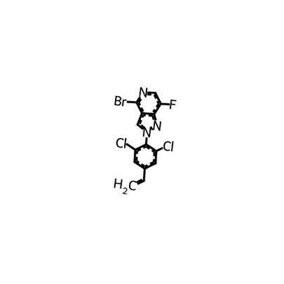 C=Cc1cc(Cl)c(-n2cc3c(Br)ncc(F)c3n2)c(Cl)c1